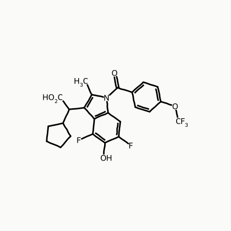 Cc1c(C(C(=O)O)C2CCCC2)c2c(F)c(O)c(F)cc2n1C(=O)c1ccc(OC(F)(F)F)cc1